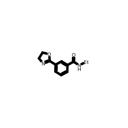 CCNC(=O)c1cccc(C2=NCCO2)c1